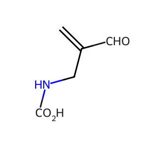 C=C(C=O)CNC(=O)O